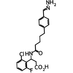 NN=Cc1ccc(CCCCC(=O)NC(CC(=O)O)c2c(F)cccc2Cl)cc1